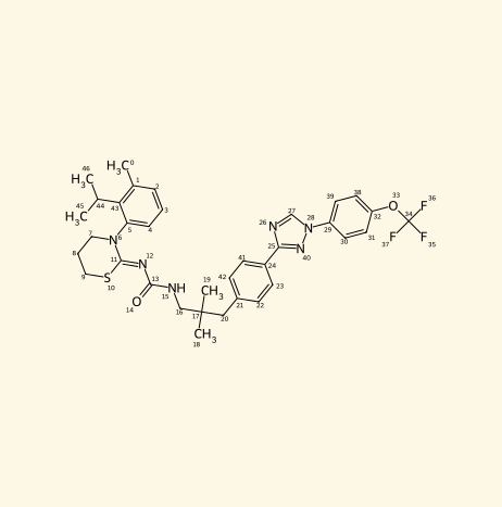 Cc1cccc(N2CCCS/C2=N\C(=O)NCC(C)(C)Cc2ccc(-c3ncn(-c4ccc(OC(F)(F)F)cc4)n3)cc2)c1C(C)C